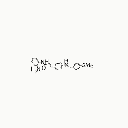 COc1ccc(CNc2ccc(C=CC(=O)Nc3ccccc3N)cc2)cc1